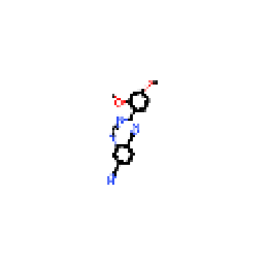 COc1ccc(CN=C=Nc2cc(C#N)ccc2C#N)c(OC)c1